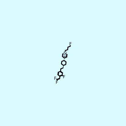 FCCCC[SiH]1CCC([C@H]2CC[C@H](CCc3ccc(C=C(F)F)c(F)c3)CC2)CC1